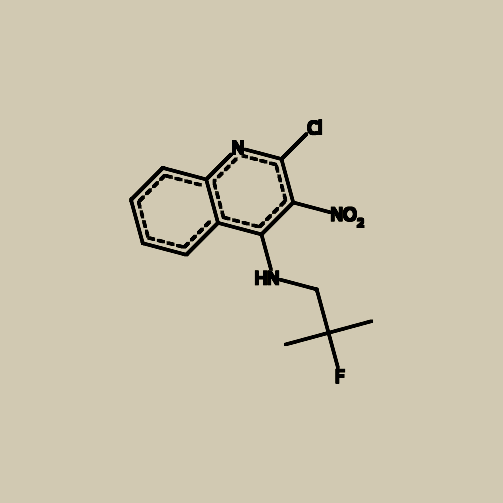 CC(C)(F)CNc1c([N+](=O)[O-])c(Cl)nc2ccccc12